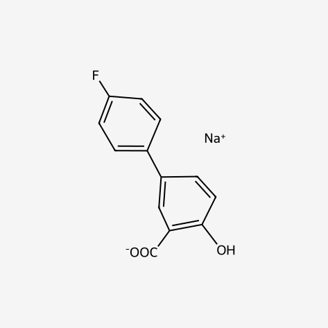 O=C([O-])c1cc(-c2ccc(F)cc2)ccc1O.[Na+]